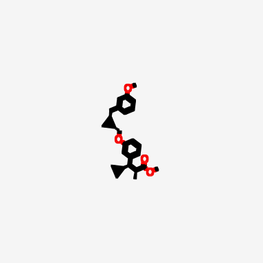 COC(=O)[C@@H](C)[C@H](c1cccc(OC[C@@H]2C[C@H]2Cc2cccc(OC)c2)c1)C1CC1